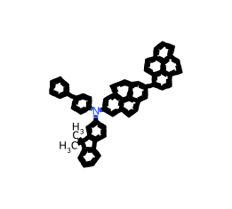 CC1(C)c2ccccc2-c2ccc(N(c3ccc(-c4ccccc4)cc3)c3cc4ccc5cc(-c6ccc7ccc8cccc9ccc6c7c89)cc6ccc(c3)c4c56)cc21